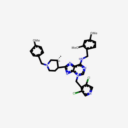 COc1ccc(CN2CCC(c3nc4c(NCc5ccc(OC)cc5OC)ncn(Cc5c(Cl)cncc5Cl)c-4n3)[C@@H](C)C2)cc1